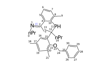 CCC/N=C(\C)c1cccc(C)c1PC(C)(CCC)c1cc(C)cc(C)c1OCc1ccccc1